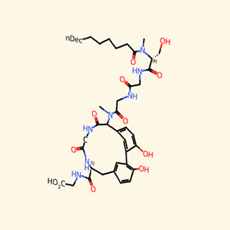 CCCCCCCCCCCCCCCC(=O)N(C)[C@H](CO)C(=O)NCC(=O)NCC(=O)N(C)C1C(=O)NCC(=O)N[C@H](C(=O)NCC(=O)O)Cc2ccc(O)c(c2)-c2cc1ccc2O